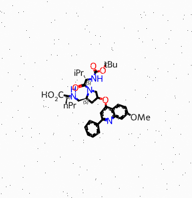 CCC[C@H](NC[C@@H]1CC(Oc2cc(-c3ccccc3)nc3cc(OC)ccc23)CN1C(=O)[C@@H](NC(=O)OC(C)(C)C)C(C)C)C(=O)O